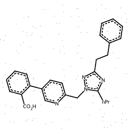 CCCc1nc(CCc2ccccc2)nn1Cc1ccc(-c2ccccc2C(=O)O)cn1